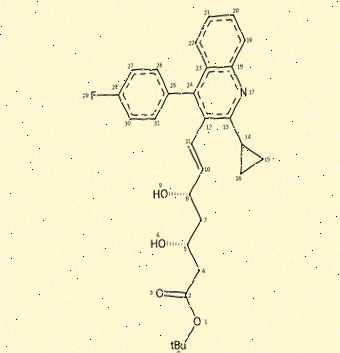 CC(C)(C)OC(=O)C[C@H](O)C[C@H](O)/C=C/c1c(C2CC2)nc2ccccc2c1-c1ccc(F)cc1